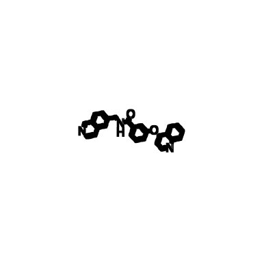 O=C(NCc1ccc2cnccc2c1)c1cccc(Oc2ccnc3ccccc23)c1